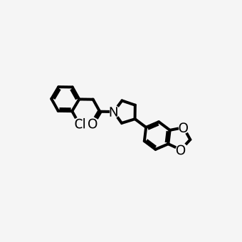 O=C(Cc1ccccc1Cl)N1CCC(c2ccc3c(c2)OCO3)C1